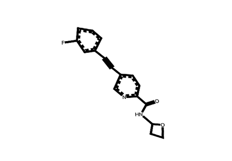 O=C(NC1CCO1)c1ccc(C#Cc2cccc(F)c2)cn1